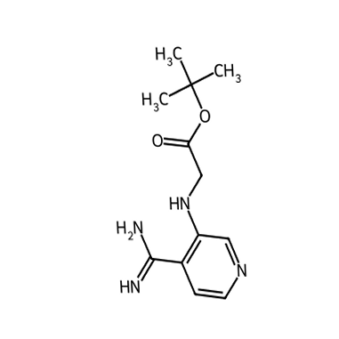 CC(C)(C)OC(=O)CNc1cnccc1C(=N)N